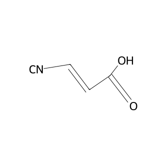 [C-]#[N+]C=CC(=O)O